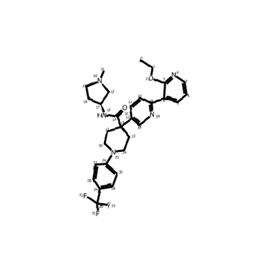 CCOc1ncccc1-c1ccc(C2(C(=O)N[C@H]3CCN(C)C3)CCN(c3ccc(C(F)(F)F)cc3)CC2)cn1